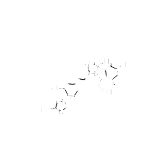 CCCCCCCCc1cc(/C=C/C2=NOC(C)(c3cc(C(F)(F)F)cc(C(F)(F)F)c3)N2CCO)ccc1-n1cnc(C)c1